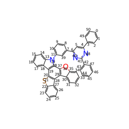 c1ccc(-c2cc(-c3cccc(-n4c5ccccc5c5c6sc7ccccc7c6c6c7ccccc7oc6c54)c3)nc(-c3ccccc3)n2)cc1